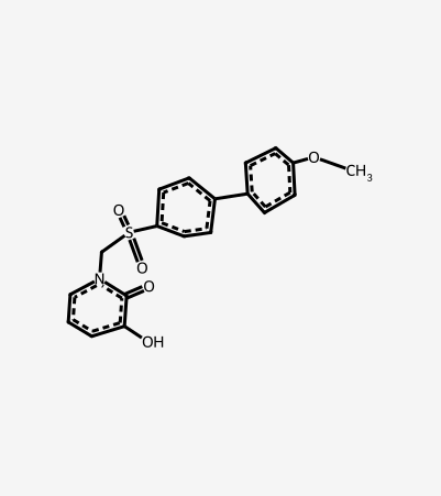 COc1ccc(-c2ccc(S(=O)(=O)Cn3cccc(O)c3=O)cc2)cc1